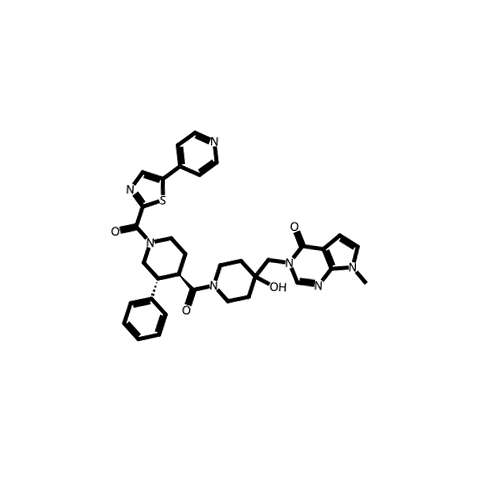 Cn1ccc2c(=O)n(CC3(O)CCN(C(=O)[C@@H]4CCN(C(=O)c5ncc(-c6ccncc6)s5)C[C@H]4c4ccccc4)CC3)cnc21